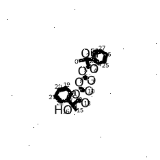 CC(O)(C(=O)OC(=O)OC(=O)OC(=O)C(C)(O)c1ccccc1)c1ccccc1